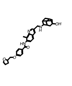 Cc1c(NC(=O)c2ccc(OCC3CCCO3)cc2)ccc2cc(CNC3C4CC5CC3CC(O)(C5)C4)cnc12